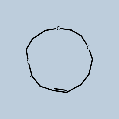 [CH]1CC=CCCCCCCCCCCC1